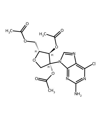 CC(=O)OC[C@H]1OC[C@](OC(C)=O)(n2cnc3c(Cl)nc(N)nc32)[C@@H]1OC(C)=O